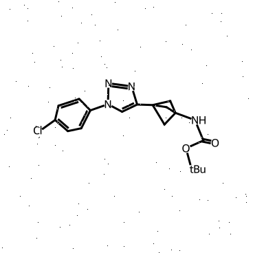 CC(C)(C)OC(=O)NC12CC(c3cn(-c4ccc(Cl)cc4)nn3)(C1)C2